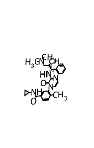 Cc1ccc(C(=O)NC2CC2)cc1-n1ccnc(N[C@@H](c2ccccc2)[C@@H](C)CN(C)C)c1=O